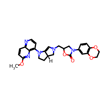 COc1ccc2nccc(N3CC[C@H]4CN(CC5CN(c6ccc7c(c6)OCCO7)C(=O)O5)C=C43)c2n1